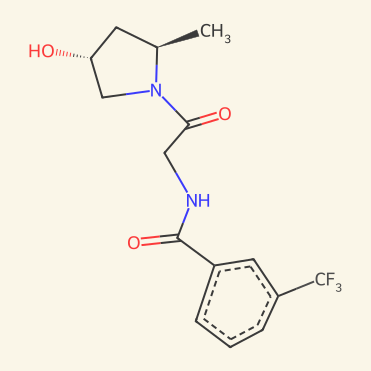 C[C@@H]1C[C@@H](O)CN1C(=O)CNC(=O)c1cccc(C(F)(F)F)c1